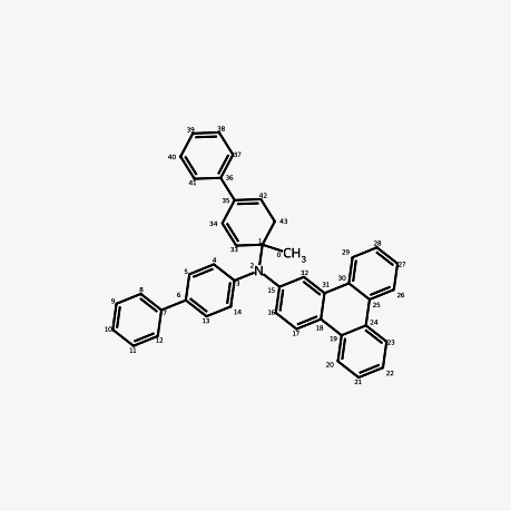 CC1(N(c2ccc(-c3ccccc3)cc2)c2ccc3c4ccccc4c4ccccc4c3c2)C=CC(c2ccccc2)=CC1